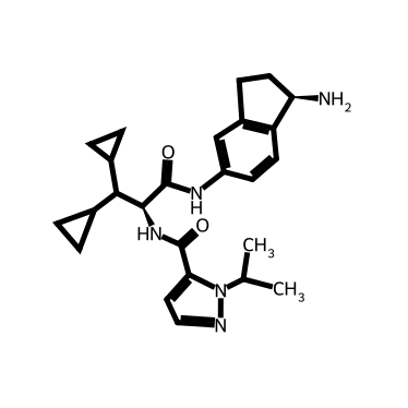 CC(C)n1nccc1C(=O)N[C@H](C(=O)Nc1ccc2c(c1)CC[C@H]2N)C(C1CC1)C1CC1